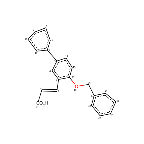 O=C(O)/C=C/c1cc(-c2ccccc2)ccc1OCc1ccccc1